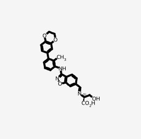 Cc1c(Nc2noc3cc(C=N[C@@H](CO)C(=O)O)ccc23)cccc1-c1ccc2c(c1)OCCO2